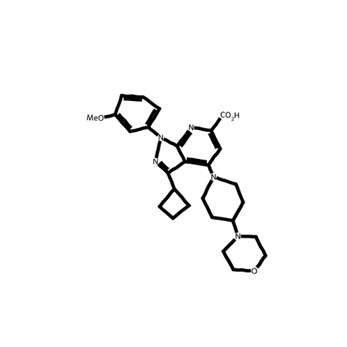 COc1cccc(-n2nc(C3CCC3)c3c(N4CCC(N5CCOCC5)CC4)cc(C(=O)O)nc32)c1